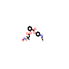 CC(C)(CC(=O)Oc1ccccc1C(=O)Oc1ccc(N=C=S)cc1)SN=O